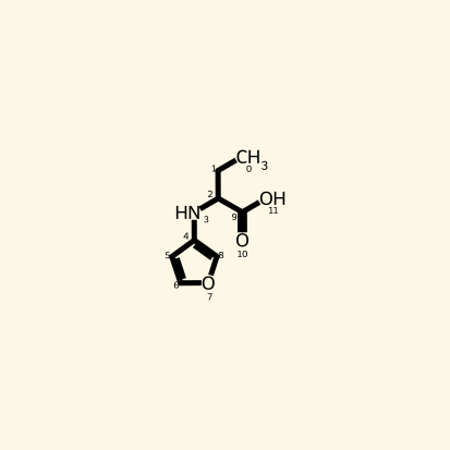 CCC(Nc1ccoc1)C(=O)O